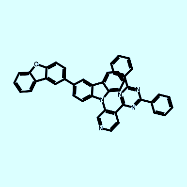 c1ccc(-c2nc(-c3ccccc3)nc(-c3ccncc3-n3c4ccccc4c4cc(-c5ccc6oc7ccccc7c6c5)ccc43)n2)cc1